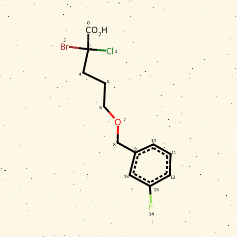 O=C(O)C(Cl)(Br)CCCOCc1cccc(F)c1